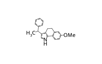 COc1ccc2c(c1)CCc1c(C(C)c3ccccc3)c[nH]c1-2